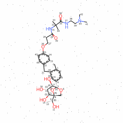 Cc1ccc([C@]23OC[C@]([C@@H](C)O)(O2)[C@@H](O)[C@H](O)[C@H]3O)cc1Cc1ccc(OCCC(=O)NC(C)(C)C(=O)NCCN(C)C)cc1